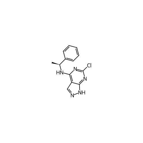 C[C@H](Nc1nc(Cl)nc2[nH]ncc12)c1ccccc1